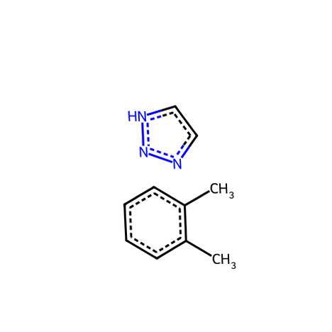 Cc1ccccc1C.c1c[nH]nn1